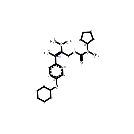 CN(N)/C(COC(=O)N(C)C1CCCC1)=C(\N)c1cnc(OC2CCCCC2)cn1